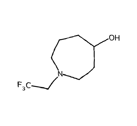 OC1CCCN(CC(F)(F)F)CC1